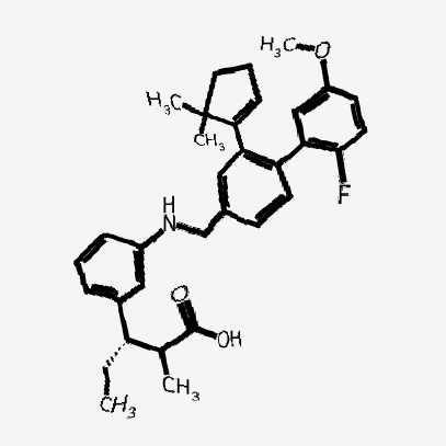 CC[C@H](c1cccc(NCc2ccc(-c3cc(OC)ccc3F)c(C3=CCCC3(C)C)c2)c1)C(C)C(=O)O